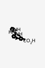 O=C(O)Cc1ccc(C2CC2)c(CCN[C@H](c2ccccc2)[C@H]2CNc3cccnc3N2)c1